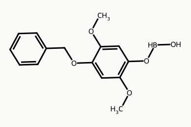 COc1cc(OCc2ccccc2)c(OC)cc1OBO